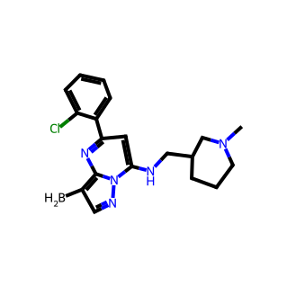 Bc1cnn2c(NCC3CCCN(C)C3)cc(-c3ccccc3Cl)nc12